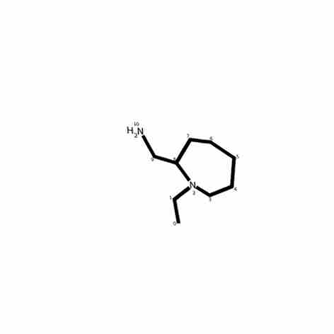 CCN1CCCCCC1CN